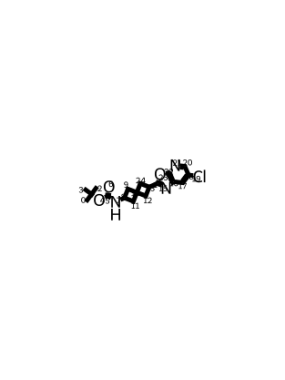 CC(C)(C)OC(=O)NC1CC2(C1)CC(c1nc3cc(Cl)cnc3o1)C2